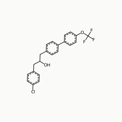 OC(Cc1ccc(Cl)cc1)Cc1ccc(-c2ccc(OC(F)(F)F)cc2)cc1